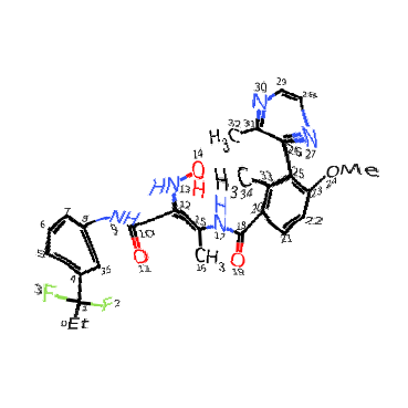 CCC(F)(F)c1cccc(NC(=O)/C(NO)=C(\C)NC(=O)c2ccc(OC)c(-c3nccnc3C)c2C)c1